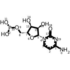 Nc1ccn([C@@H]2O[C@H](COP(O)O)[C@@H](O)[C@H]2O)c(=O)n1